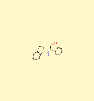 OC[C@H](N[C@H]1CCc2ccccc21)c1ccccc1